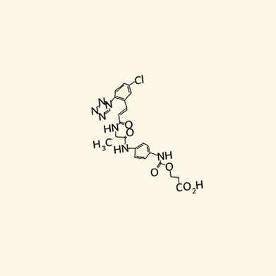 C[C@H](NC(=O)/C=C/c1cc(Cl)ccc1-n1cnnn1)C(=O)Nc1ccc(NC(=O)OCCC(=O)O)cc1